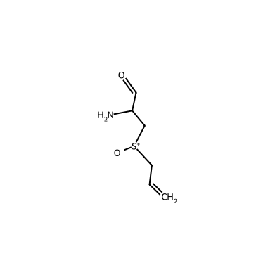 C=CC[S+]([O-])CC(N)C=O